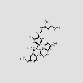 COCCN(C)CCOc1ccc(CN(C)c2cc(OC)ccc2[C@@H]2CCc3cc(O)ccc3C2)cc1F